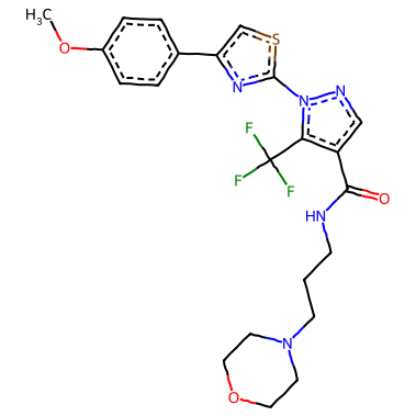 COc1ccc(-c2csc(-n3ncc(C(=O)NCCCN4CCOCC4)c3C(F)(F)F)n2)cc1